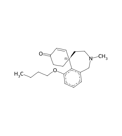 CCCCOc1cccc2c1[C@]1(C=CC(=O)CC1)CCN(C)C2